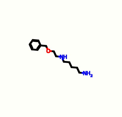 NCCCCCNCCOCc1ccccc1